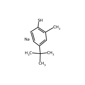 Cc1cc(C(C)(C)C)ccc1S.[Na]